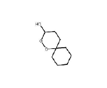 OC1CCC2(CCCCC2)OO1